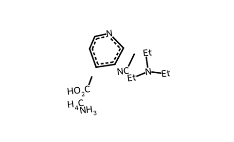 C.CC#N.CC(=O)O.CCN(CC)CC.N.c1ccncc1